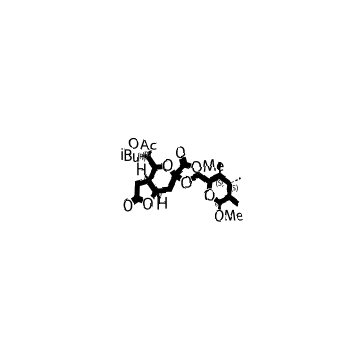 CC[C@@H](C)[C@@H](OC(C)=O)C1OC(OCC2O[C@H](OC)C(C)[C@@H](C)[C@@H]2C)(C(=O)OC)C[C@H]2OC(=O)C[C@@H]12